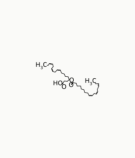 CC/C=C\C/C=C\C/C=C\CCCCCCCC(=O)OC(CCCC/C=C\C/C=C\C/C=C\CC)CCC(=O)O